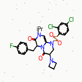 CC(C)N1C=C2N(C(=O)C(N3CCC3)CN2S(=O)(=O)c2ccc(Cl)cc2Cl)C(Cc2ccc(F)cc2)C1=O